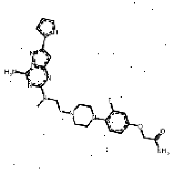 CN(CCN1CCN(c2ccc(OCC(N)=O)cc2F)CC1)c1nc(N)n2nc(-c3ccco3)cc2n1